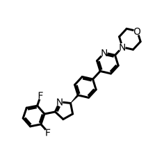 Fc1cccc(F)c1C1=N[C@@H](c2ccc(-c3ccc(N4CCOCC4)nc3)cc2)CC1